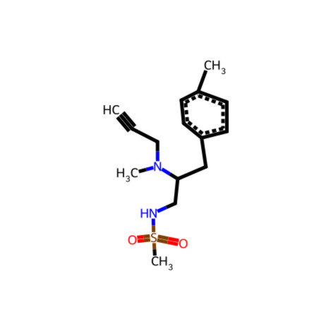 C#CCN(C)C(CNS(C)(=O)=O)Cc1ccc(C)cc1